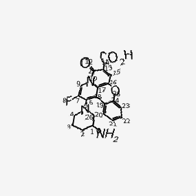 NC1CCCN(c2c(F)cn3c(=O)c(C(=O)O)cc4c3c2-c2ccccc2O4)C1